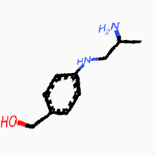 CC(N)CNc1ccc(CO)cc1